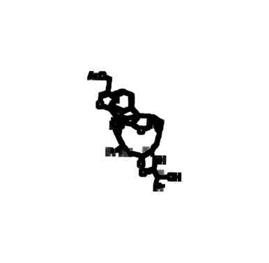 CC(=O)OCc1coc(-c2nc3oc2C24c5ccccc5NC2Oc2ccc(cc24)C[C@H](NC(=O)[C@@H](O)C(C)C)C(=O)NC3C(C)C)n1